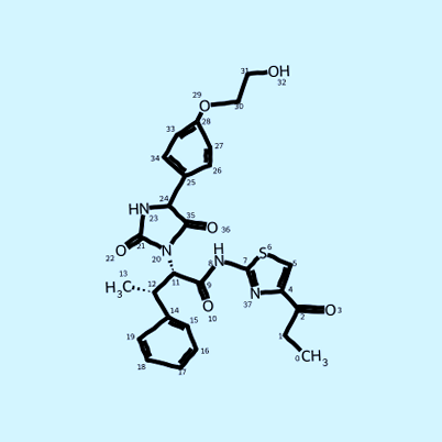 CCC(=O)c1csc(NC(=O)[C@H]([C@@H](C)c2ccccc2)N2C(=O)NC(c3ccc(OCCO)cc3)C2=O)n1